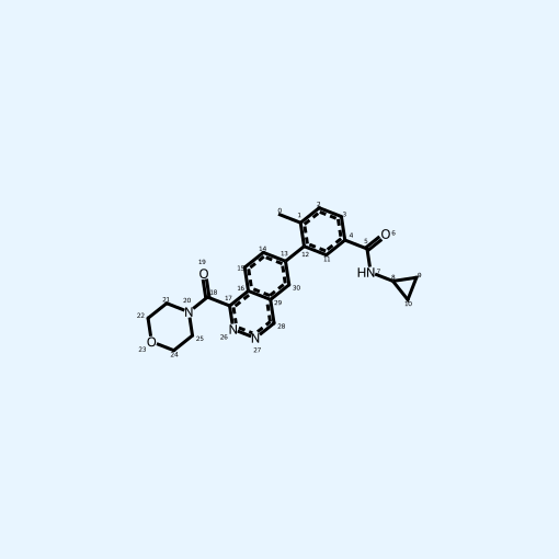 Cc1ccc(C(=O)NC2CC2)cc1-c1ccc2c(C(=O)N3CCOCC3)nncc2c1